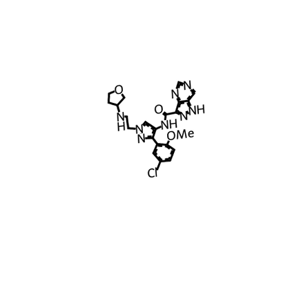 COc1ccc(Cl)cc1-c1nn(CCNC2CCOC2)cc1NC(=O)c1n[nH]c2cncnc12